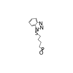 O=PCCCCSn1nnc2ccccc21